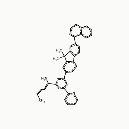 C/C=C\C=C(/N)c1nc(-c2ccc3c(c2)C(C)(C)c2cc(-c4cccc5ccccc45)ccc2-3)nc(-c2ccccn2)n1